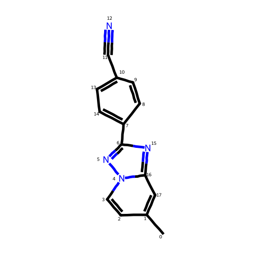 Cc1ccn2nc(-c3ccc(C#N)cc3)nc2c1